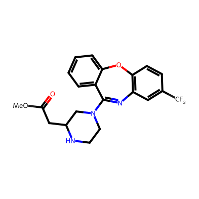 COC(=O)CC1CN(C2=Nc3cc(C(F)(F)F)ccc3Oc3ccccc32)CCN1